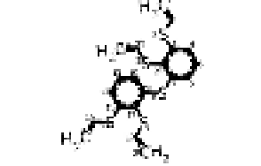 C=CSc1cccc(Sc2cccc(SC=C)c2SC=C)c1SC=C